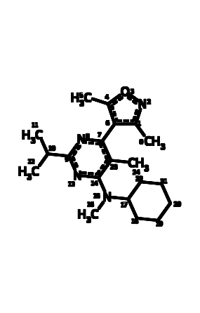 Cc1noc(C)c1-c1nc(C(C)C)nc(N(C)C2CCCCC2)c1C